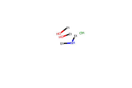 CCNCC.CCO.CCO.Cl